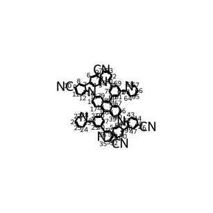 N#Cc1ccc2c(c1)c1cc(C#N)ccc1n2-c1ccc2c(-c3cc(-c4ccccn4)cc(-c4ccccn4)c3)c3cc(-n4c5ccc(C#N)cc5c5cc(C#N)ccc54)ccc3c(-c3cc(-c4ccccn4)cc(-c4ccccn4)c3)c2c1